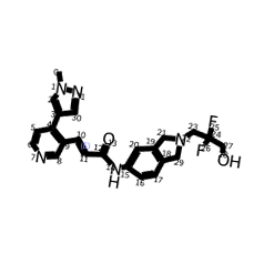 Cn1cc(-c2ccncc2/C=C/C(=O)Nc2ccc3c(c2)CN(CC(F)(F)CO)C3)cn1